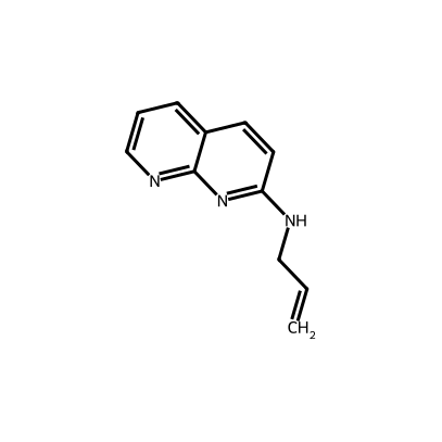 C=CCNc1ccc2cccnc2n1